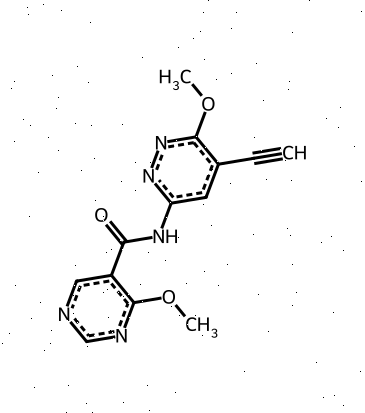 C#Cc1cc(NC(=O)c2cncnc2OC)nnc1OC